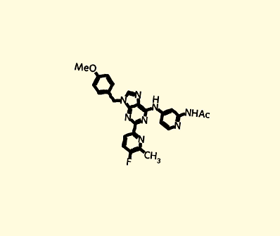 COc1ccc(Cn2cnc3c(Nc4ccnc(NC(C)=O)c4)nc(-c4ccc(F)c(C)n4)nc32)cc1